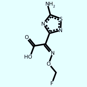 Nc1nc(C(=NOCF)C(=O)O)ns1